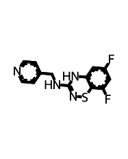 Fc1cc(F)c2c(c1)NC(NCc1ccncc1)=NS2